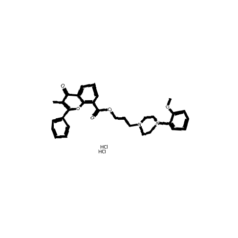 COc1ccccc1N1CCN(CCCOC(=O)c2cccc3c(=O)c(C)c(-c4ccccc4)oc23)CC1.Cl.Cl